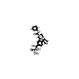 C[C@H](N[S@@+]([O-])C(C)(C)C)c1ccc(C2(N3CCN(C(=O)Oc4ccccc4)CC3)CCOC2)cc1